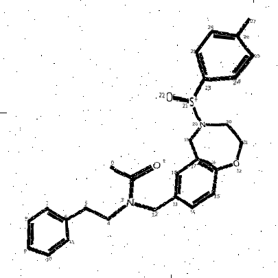 CC(=O)N(CCc1ccccc1)Cc1ccc2c(c1)CN([S+]([O-])c1ccc(C)cc1)CCO2